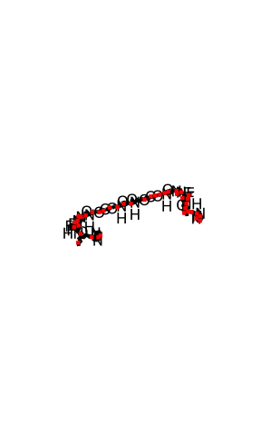 C/C=C/C=C(\C=C\C#Cc1cnc2cccnn12)C(=O)Nc1ccc(CN2CCN(CCC(=O)NCCCOCCOCCOCCCNC(=O)CCCC(=O)NCCCOCCOCCOCCCNC(=O)CCN3CCN(Cc4ccc(NC(=O)c5ccc(C)c(C#Cc6cnc7cccnn67)c5)cc4C(F)(F)F)CC3)CC2)c(C(F)(F)F)c1